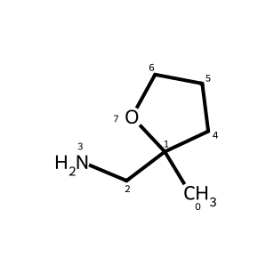 CC1(CN)CCCO1